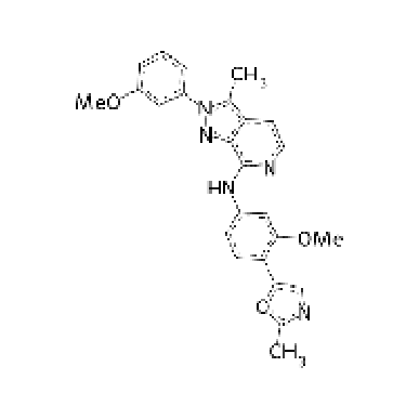 COc1cccc(-n2nc3c(Nc4ccc(-c5cnc(C)o5)c(OC)c4)nccc3c2C)c1